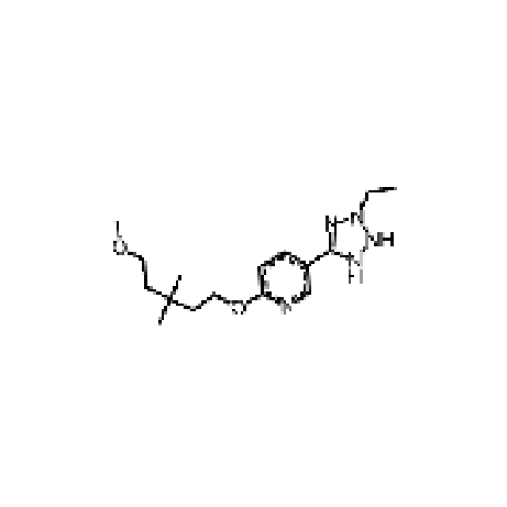 CCN1N=C(c2ccc(OCCC(C)(C)CCOC)nc2)NN1